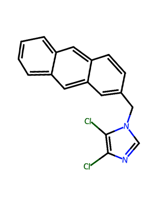 Clc1ncn(Cc2ccc3cc4ccccc4cc3c2)c1Cl